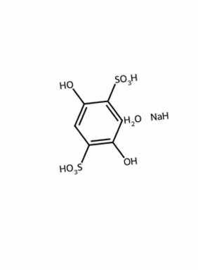 O.O=S(=O)(O)c1cc(O)c(S(=O)(=O)O)cc1O.[NaH]